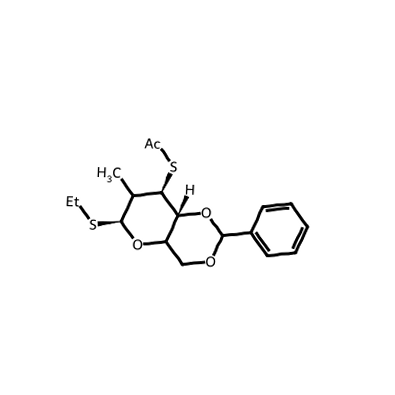 CCS[C@@H]1OC2COC(c3ccccc3)O[C@H]2[C@H](SC(C)=O)C1C